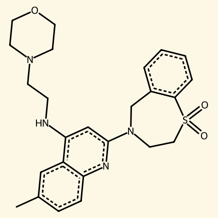 Cc1ccc2nc(N3CCS(=O)(=O)c4ccccc4C3)cc(NCCN3CCOCC3)c2c1